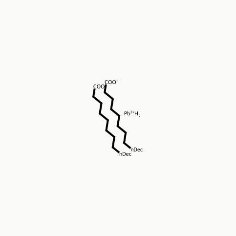 CCCCCCCCCCCCCCCCCC(=O)[O-].CCCCCCCCCCCCCCCCCC(=O)[O-].[PbH2+2]